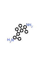 Nc1ccc(-c2ccc(-c3ccc(-c4ccc(N)cc4-c4ccccc4)c(-c4ccccc4)c3)c(-c3ccccc3)c2)c(-c2ccccc2)c1